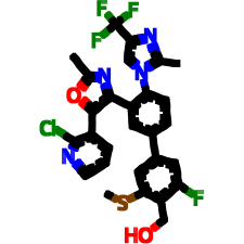 CSc1cc(-c2ccc(-n3cc(C(F)(F)F)nc3C)c(-c3nc(C)oc3-c3cccnc3Cl)c2)cc(F)c1CO